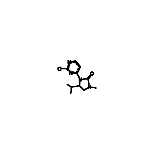 CC(C)C1CN(C)C(=O)N1c1ccnc(Cl)n1